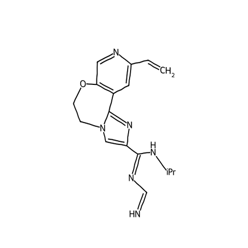 C=Cc1cc2c(cn1)OCCn1cc(/C(=N/C=N)NC(C)C)nc1-2